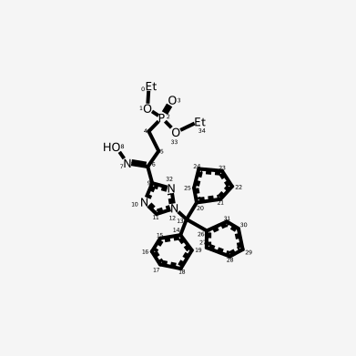 CCOP(=O)(CCC(=NO)c1ncn(C(c2ccccc2)(c2ccccc2)c2ccccc2)n1)OCC